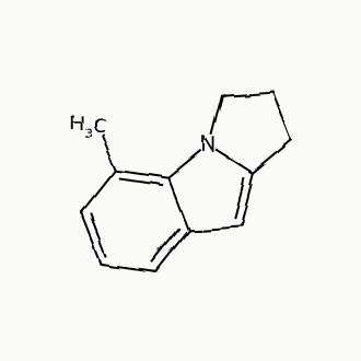 Cc1cccc2cc3n(c12)CCC3